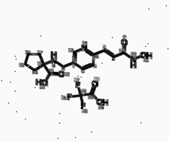 O=C(C=Cc1ccc(CNC2(C(=O)O)CCCC2)cn1)NO.O=C(O)C(F)(F)F